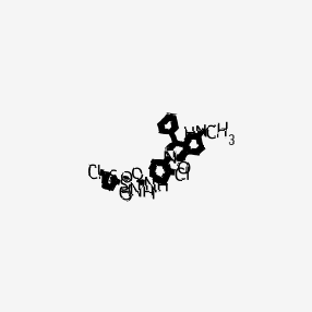 CNc1ccc2c(=O)n(-c3ccc(NC(=O)NS(=O)(=O)c4ccc(Cl)s4)cc3Cl)cc(-c3ccccc3)c2c1